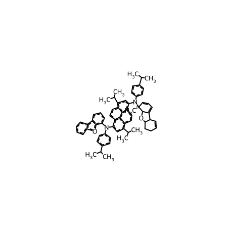 CC(C)c1ccc(N(c2cc(C(C)C)c3ccc4c(N(c5ccc(C(C)C)cc5)[C@@]5(C)C=CC=C6C7C=CCCC7OC65)cc(C(C)C)c5ccc2c3c54)c2cccc3c2oc2ccccc23)cc1